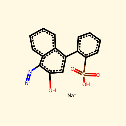 [N-]=Nc1c(O)cc(-c2ccccc2S(=O)(=O)O)c2ccccc12.[Na+]